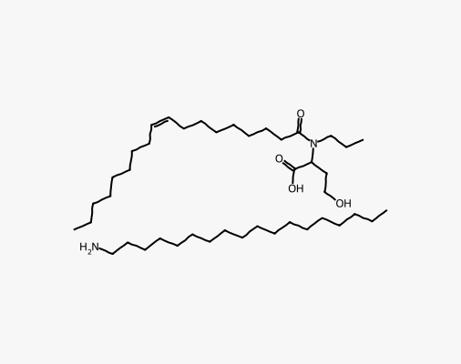 CCCCCCCC/C=C\CCCCCCCC(=O)N(CCC)C(CCO)C(=O)O.CCCCCCCCCCCCCCCCCCN